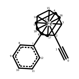 C#C[C]12[CH]3[CH]4[CH]5[C]1(c1ccccc1)[Fe]43521678[CH]2[CH]1[CH]6[CH]7[CH]28